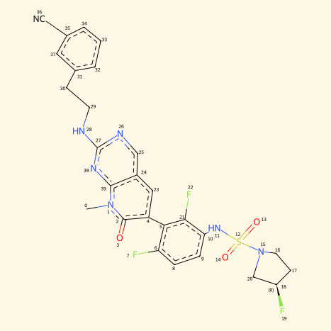 Cn1c(=O)c(-c2c(F)ccc(NS(=O)(=O)N3CC[C@@H](F)C3)c2F)cc2cnc(NCCc3cccc(C#N)c3)nc21